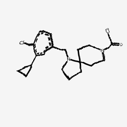 O=C(Cl)N1CCC2(CCCN2Cc2ccc(Cl)c(C3CC3)c2)CC1